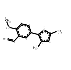 COc1ccc(-c2sc(C)cc2C)cc1C=O